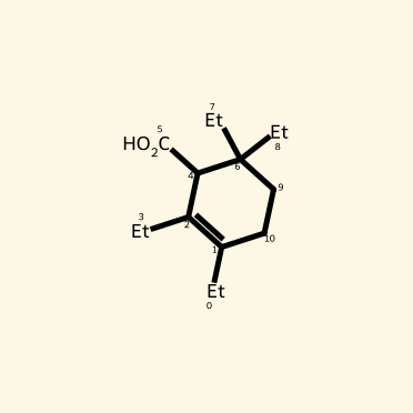 CCC1=C(CC)C(C(=O)O)C(CC)(CC)CC1